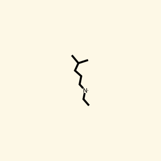 CC[N]CCCC(C)C